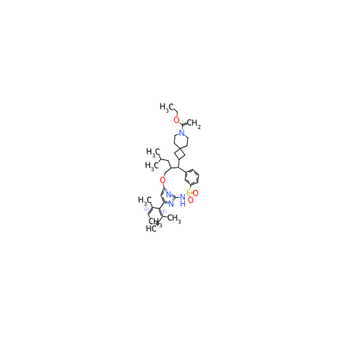 C#C/C(C)=C(\C(C)=C/C)c1cc2nc(n1)NS(=O)(=O)c1cccc(c1)C(C1CC3(CCN(C(=C)OCC)CC3)C1)C(CC(C)C)CO2